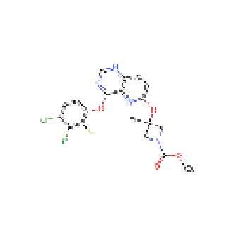 CCC1(Oc2ccc3ncnc(Oc4ccc(Cl)c(Cl)c4F)c3n2)CN(C(=O)OC(C)(C)C)C1